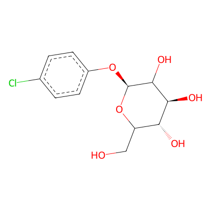 OCC1O[C@@H](Oc2ccc(Cl)cc2)C(O)[C@@H](O)[C@@H]1O